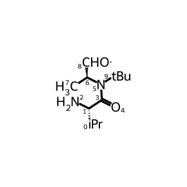 CC(C)[C@H](N)C(=O)N([C@@H](C)[C]=O)C(C)(C)C